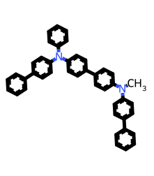 CN(c1ccc(-c2ccccc2)cc1)c1ccc(-c2ccc(N(c3ccccc3)c3ccc(-c4ccccc4)cc3)cc2)cc1